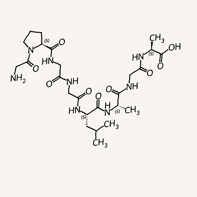 CC(C)C[C@H](NC(=O)CNC(=O)CNC(=O)[C@@H]1CCCN1C(=O)CN)C(=O)N[C@@H](C)C(=O)NCC(=O)N[C@@H](C)C(=O)O